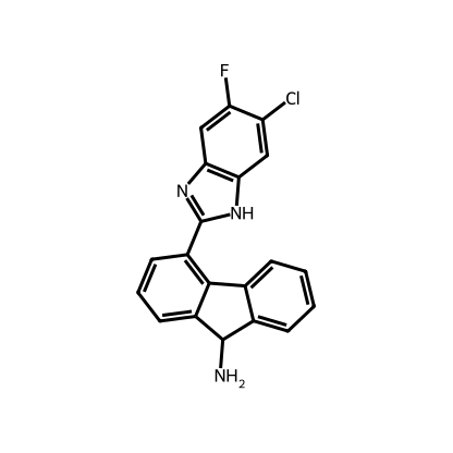 NC1c2ccccc2-c2c(-c3nc4cc(F)c(Cl)cc4[nH]3)cccc21